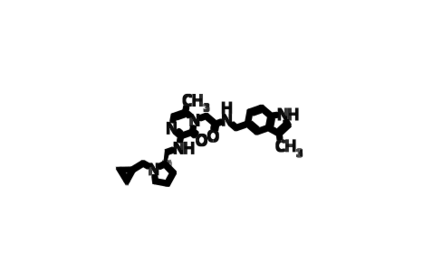 Cc1c[nH]c2ccc(CNC(=O)Cn3c(C)cnc(NC[C@H]4CCCN4CC4CC4)c3=O)cc12